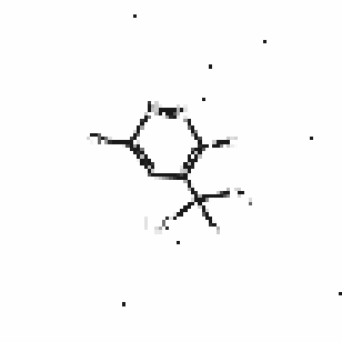 CC(C)(F)c1cc(Cl)nnc1Cl